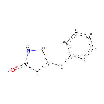 O=C1CC(Cc2ccccc2)C[N]1